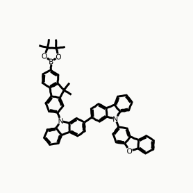 CC1(C)c2cc(B3OC(C)(C)C(C)(C)O3)ccc2-c2ccc(-n3c4ccccc4c4ccc(-c5ccc6c7ccccc7n(-c7ccc8oc9ccccc9c8c7)c6c5)cc43)cc21